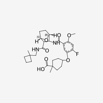 COc1cc(F)c(OC2CCC(C)(C(=O)O)CC2)cc1C(=O)NC1C(C(=O)NCC2(C)CCC2)[C@@H]2CC[C@H]1O2